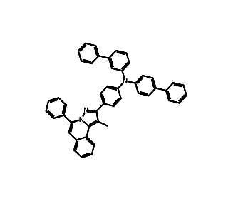 Cc1c(-c2ccc(N(c3ccc(-c4ccccc4)cc3)c3cccc(-c4ccccc4)c3)cc2)nn2c(-c3ccccc3)cc3ccccc3c12